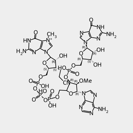 CO[C@@H]1[C@H](OP(=O)(O)OC[C@H]2O[C@@H](n3cnc4c(=O)[nH]c(N)nc43)[C@H](O)[C@@H]2O)C(COP(=O)(O)OP(=O)(O)OP(=O)(O)OC[C@H]2OC(n3c[n+](C)c4c(=O)[nH]c(N)nc43)[C@H](O)[C@@H]2CCC#N)O[C@H]1n1cnc2c(N)ncnc21